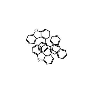 c1ccc(N(c2cccc3oc4ccccc4c23)c2cccc3sc4cccc(C5(c6ccccc6)c6ccccc6-c6ccccc65)c4c23)cc1